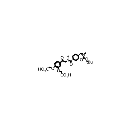 CN(C[C@H]1CC[C@H](C(=O)NCC(=O)c2ccc(OCC(=O)O)c(OCC(=O)O)c2)CC1)C(=O)OC(C)(C)C